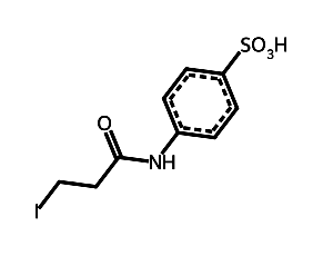 O=C(CCI)Nc1ccc(S(=O)(=O)O)cc1